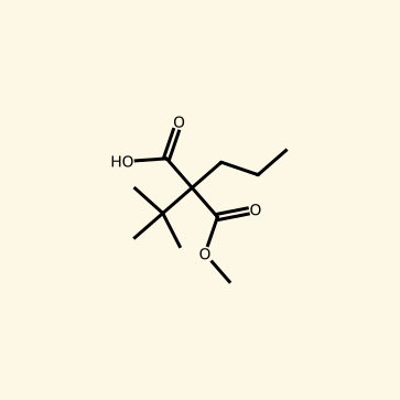 CCCC(C(=O)O)(C(=O)OC)C(C)(C)C